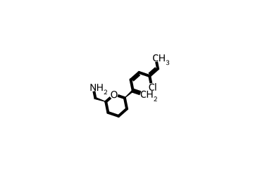 C=C(/C=C\C(Cl)=C/C)[C@H]1CCC[C@@H](CN)O1